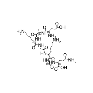 C[C@H](NC(=O)[C@H](CCCCN)NC(=O)CNC(=O)[C@H](CCCCN)NC(=O)[C@H](C)NC(=O)[C@@H](N)CCC(=O)O)C(=O)N[C@@H](CCC(N)=O)C(=O)O